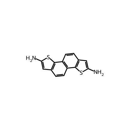 Nc1cc2ccc3c(ccc4cc(N)sc43)c2s1